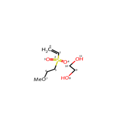 C=CS(=O)(=O)CCOC.OCCO